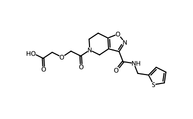 O=C(O)COCC(=O)N1CCc2onc(C(=O)NCc3cccs3)c2C1